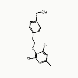 Cc1cc(Cl)c(OCCc2ccc(CO)cc2)c(Cl)c1